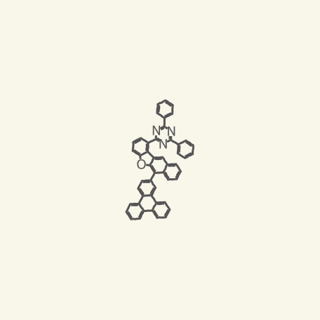 c1ccc(-c2nc(-c3ccccc3)nc(-c3cccc4oc5c(-c6ccc7c8ccccc8c8ccccc8c7c6)c6ccccc6cc5c34)n2)cc1